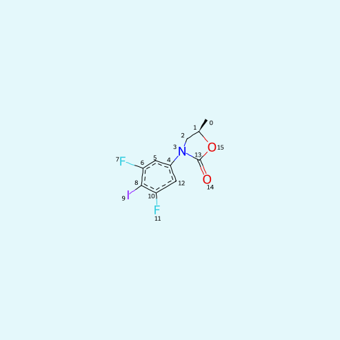 C[C@@H]1CN(c2cc(F)c(I)c(F)c2)C(=O)O1